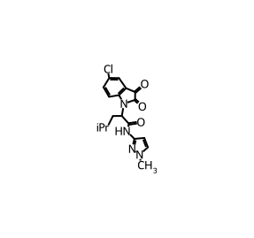 CC(C)CC(C(=O)Nc1ccn(C)n1)N1C(=O)C(=O)c2cc(Cl)ccc21